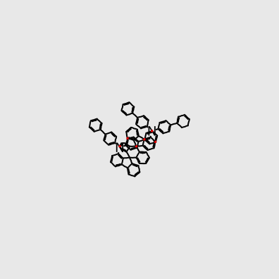 C1=CCCC(c2ccc(N(c3ccc(-c4ccccc4)cc3)c3cccc4c3-c3ccccc3C43c4ccccc4C4(c5ccccc5-c5cccc(N(c6ccc(-c7ccccc7)cc6)c6ccc(-c7ccccc7)cc6)c54)c4ccccc43)cc2)=C1